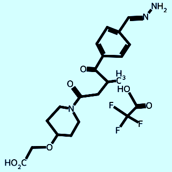 CC(CC(=O)N1CCC(OCC(=O)O)CC1)C(=O)c1ccc(C=NN)cc1.O=C(O)C(F)(F)F